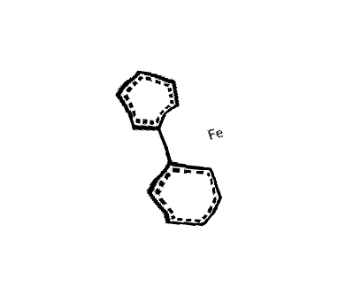 [Fe].c1ccc(-c2ccccc2)cc1